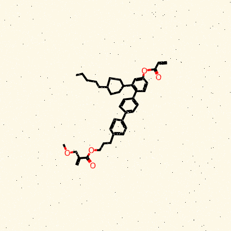 C=CC(=O)Oc1ccc(-c2ccc(-c3ccc(CCCOC(=O)C(=C)COC)cc3)cc2)c(C2CCC(CCCCC)CC2)c1